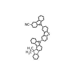 CC1(C)c2ccccc2-c2ccc3c(c21)c1ccccc1n3-c1ccc2sc3ccc(-n4c5ccccc5c5cc(C#N)ccc54)cc3c2c1